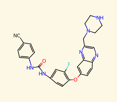 N#Cc1ccc(NC(=O)Nc2ccc(Oc3ccc4ncc(CN5CCNCC5)nc4c3)c(F)c2)cc1